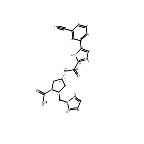 N#Cc1cccc(-c2cnc(C(=O)N[C@@H]3C[C@@H](Cn4nccn4)N(C(=O)O)C3)o2)c1